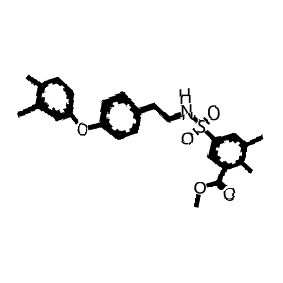 COC(=O)c1cc(S(=O)(=O)NCCc2ccc(Oc3ccc(C)c(C)c3)cc2)cc(C)c1C